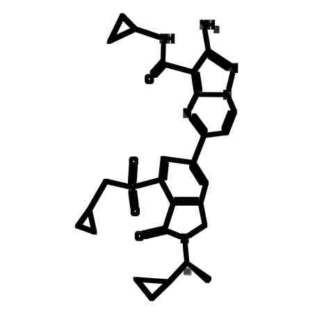 C[C@@H](C1CC1)N1Cc2cc(-c3ccn4nc(N)c(C(=O)NC5CC5)c4n3)cc(S(=O)(=O)CC3CC3)c2C1=O